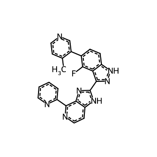 Cc1ccncc1-c1ccc2[nH]nc(-c3nc4c(-c5ccccn5)nccc4[nH]3)c2c1F